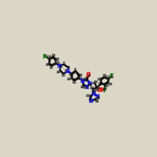 O=c1n(-c2ccc(N3CCN(c4ccc(F)cc4)CC3)cc2)cnn1CC(O)(Cn1cncn1)c1ccc(F)cc1F